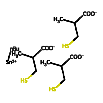 CC(CS)C(=O)[O-].CC(CS)C(=O)[O-].CC(CS)C(=O)[O-].CCC[CH2][Sn+3]